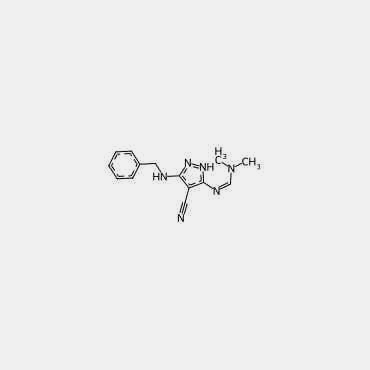 CN(C)/C=N\c1[nH]nc(NCc2ccccc2)c1C#N